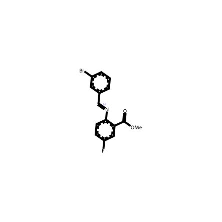 COC(=O)c1cc(F)ccc1/N=C/c1cccc(Br)c1